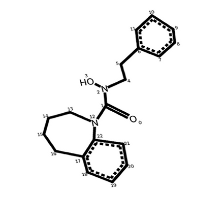 O=C(N(O)CCc1ccccc1)N1CCCCc2ccccc21